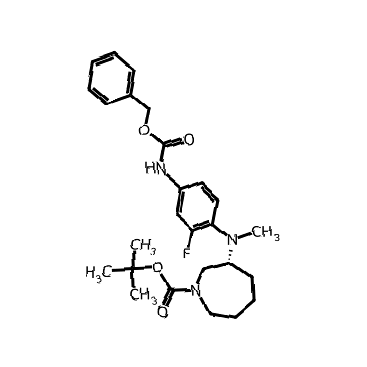 CN(c1ccc(NC(=O)OCc2ccccc2)cc1F)[C@@H]1CCCCN(C(=O)OC(C)(C)C)C1